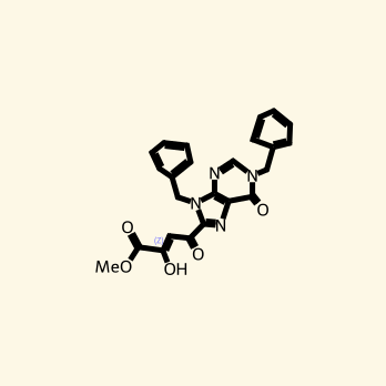 COC(=O)/C(O)=C/C(=O)c1nc2c(=O)n(Cc3ccccc3)cnc2n1Cc1ccccc1